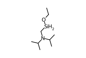 CCO[SiH2]CN(C(C)C)C(C)C